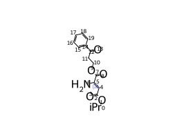 CC(C)OC(=O)/C=C(\N)C(=O)OCCC(=O)c1ccccc1